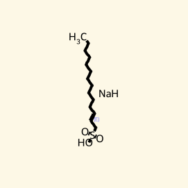 CCCCCCCCCCC/C=C/CS(=O)(=O)O.[NaH]